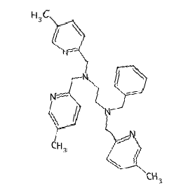 Cc1ccc(CN(CCN(Cc2ccc(C)cn2)Cc2ccc(C)cn2)Cc2ccccc2)nc1